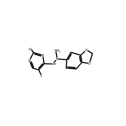 NN(Nc1nc(Cl)ncc1F)c1ccc2c(c1)OCO2